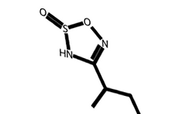 CC(CC(C)(C)C)C1=NOS(=O)N1